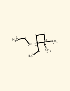 CCC[C@]1(CC)CC[PH]1(C)C